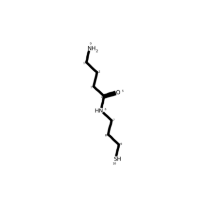 NCCCC(=O)NCCCS